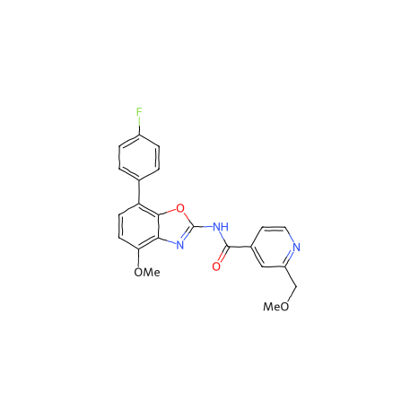 COCc1cc(C(=O)Nc2nc3c(OC)ccc(-c4ccc(F)cc4)c3o2)ccn1